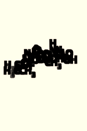 CN1C=C(c2cccc(-n3ncc4cc(C(C)(C)C)cc(F)c4c3=O)c2CO)C=C(Nc2ccc(C(=O)O)cn2)[C@H]1O